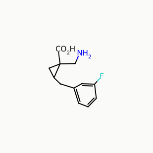 NCC1(C(=O)O)CC1Cc1cccc(F)c1